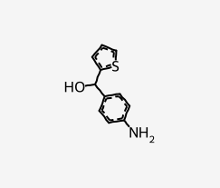 Nc1ccc(C(O)c2cccs2)cc1